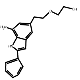 Nc1cc(CCOCCO)cc2cc(-c3ccccc3)[nH]c12